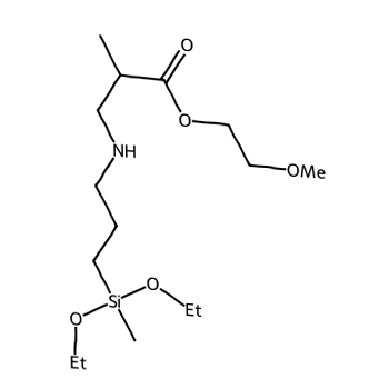 CCO[Si](C)(CCCNCC(C)C(=O)OCCOC)OCC